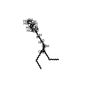 CCCCCCCC/C=C\CCCCCCCC(=O)OC[C@H](COP(=O)(O)OCCNC(=O)CCCCC(=O)NCCCOC1OC(CO)C(OC2OC(CO)C(O)C(OC3OC(CO)C(O)C(O)C3O)C2O)C(O)C1NC(C)=O)OC(=O)CCCCCCC/C=C\CCCCCCCC